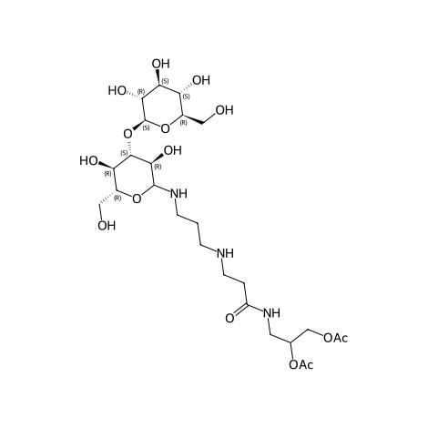 CC(=O)OCC(CNC(=O)CCNCCCNC1O[C@H](CO)[C@@H](O)[C@H](O[C@@H]2O[C@H](CO)[C@@H](O)[C@H](O)[C@H]2O)[C@H]1O)OC(C)=O